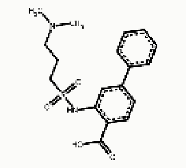 CN(C)CCCS(=O)(=O)Nc1cc(-c2ccccc2)ccc1C(=O)O